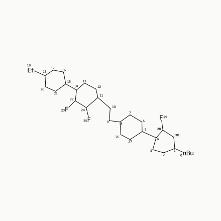 CCCCC1CCC(C2CCC(CCC3CCC(C4CCC(CC)CC4)C(F)C3F)CC2)C(F)C1